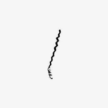 C=C=C=C=C=CC=CC=CC=CC=CC=CC=CC=CC=C